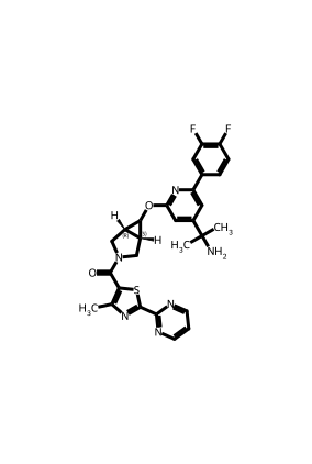 Cc1nc(-c2ncccn2)sc1C(=O)N1C[C@@H]2C(Oc3cc(C(C)(C)N)cc(-c4ccc(F)c(F)c4)n3)[C@@H]2C1